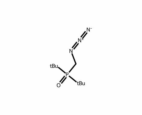 CC(C)(C)P(=O)(CN=[N+]=[N-])C(C)(C)C